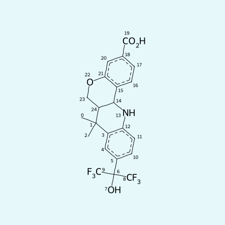 CC1(C)c2cc(C(O)(C(F)(F)F)C(F)(F)F)ccc2NC2c3ccc(C(=O)O)cc3OCC21